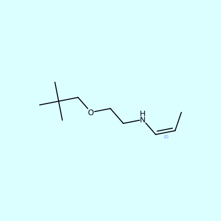 C/C=C\NCCOCC(C)(C)C